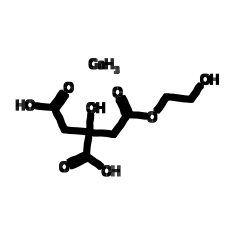 O=C(O)CC(O)(CC(=O)OCCO)C(=O)O.[GaH3]